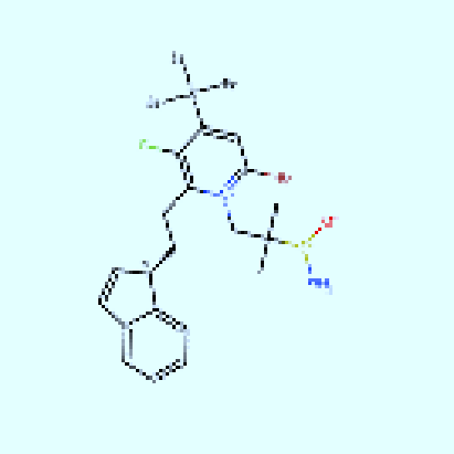 CC[Si](CC)(CC)c1cc(Br)[n+](CC(C)(C)[S+](N)[O-])c(CC[C@@H]2C=Cc3ccccc32)c1F